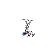 COc1cc(OC)c2c(=O)[nH]c(-c3ccc(N4CCC(CN5CC6CC(C5)N6c5ccc6c(c5)C(C(=O)C=O)N(C5CCC(=O)NC5=O)C6)CC4)cc3)nc2c1